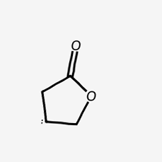 O=C1C[C]CO1